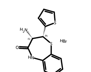 Br.N[C@H]1C(=O)Nc2ccccc2S[C@H]1c1cccs1